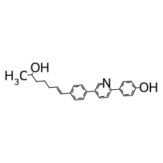 CC(O)CCCC=Cc1ccc(-c2ccc(-c3ccc(O)cc3)nc2)cc1